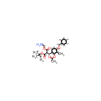 CC(=O)Oc1c(CC(C(=O)OCN)C(=O)OC(C)(C)C)ccc(OCc2ccccc2)c1C